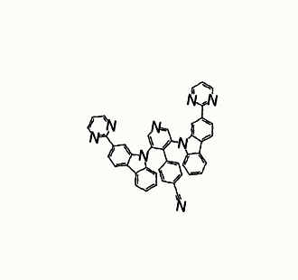 N#Cc1ccc(-c2c(-n3c4ccccc4c4ccc(-c5ncccn5)cc43)cncc2-n2c3ccccc3c3ccc(-c4ncccn4)cc32)cc1